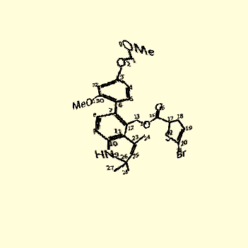 COCOc1ccc(-c2ccc3c(c2COC(=O)C2CC=C(Br)S2)C(C)=CC(C)(C)N3)c(OC)c1